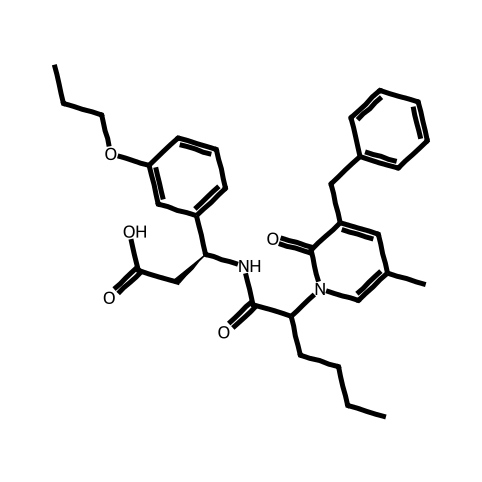 CCCCC(C(=O)N[C@@H](CC(=O)O)c1cccc(OCCC)c1)n1cc(C)cc(Cc2ccccc2)c1=O